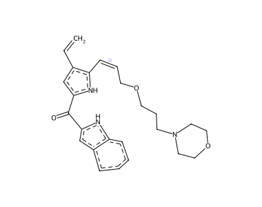 C=Cc1cc(C(=O)c2cc3ccccc3[nH]2)[nH]c1/C=C\COCCCN1CCOCC1